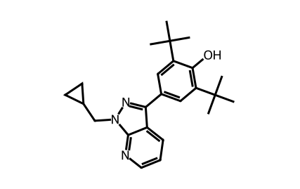 CC(C)(C)c1cc(-c2nn(CC3CC3)c3ncccc23)cc(C(C)(C)C)c1O